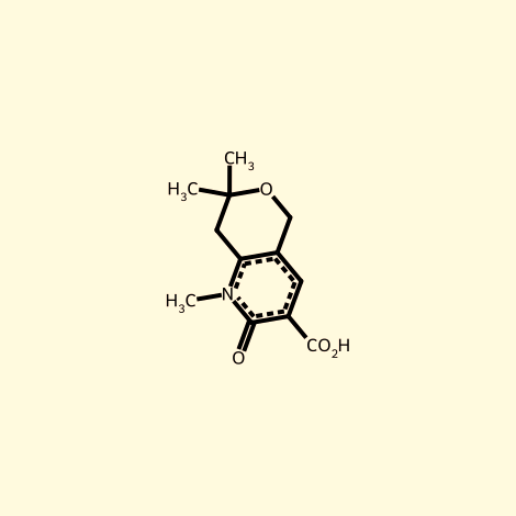 Cn1c2c(cc(C(=O)O)c1=O)COC(C)(C)C2